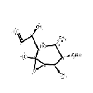 C=C[C@@H](C)CC1(C)O[C@@H]1[C@H](C)[C@@H](OC)[C@@H](C)O